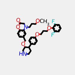 COCCCN1CC(=O)Oc2ccc(COC3CNCCC3c3ccc(OCCCOc4c(F)cccc4F)cc3)cc21